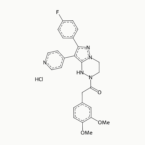 COc1ccc(CC(=O)N2CCn3nc(-c4ccc(F)cc4)c(-c4ccncc4)c3N2)cc1OC.Cl